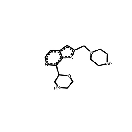 c1cc2cc(CN3CCNCC3)sc2c(C2CNCCO2)n1